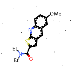 CCN(CC)C(=O)c1cc2cc3cc(OC)ccc3nc2s1